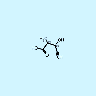 C#C[C@H](O)[C@H](C)C(=O)O